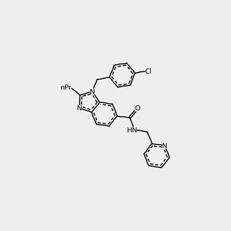 CCCc1nc2ccc(C(=O)NCc3ccccn3)cc2n1Cc1ccc(Cl)cc1